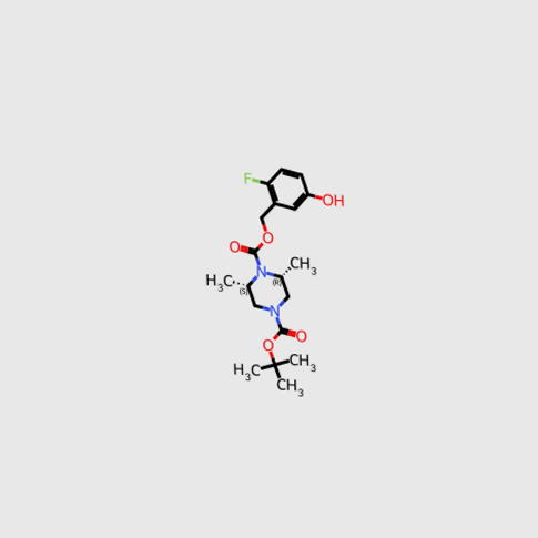 C[C@@H]1CN(C(=O)OC(C)(C)C)C[C@H](C)N1C(=O)OCc1cc(O)ccc1F